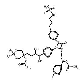 CC(=O)O[C@@H](CC[C@H]1C(=O)N(c2ccc(CCCNS(C)(=O)=O)cc2)[C@@H]1c1ccc(C(O)C(O)CCC2(OC(C)=O)COC(C)(C)OC2)cc1)c1ccc(F)cc1